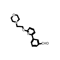 O=Cc1cccc(-c2cccc(OCCN3CCOCC3)n2)c1